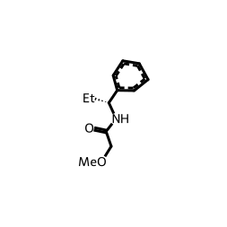 CC[C@@H](NC(=O)COC)c1ccccc1